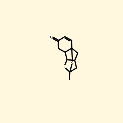 CC12CC3CC4(C=CC(=O)CC4C3O1)C2